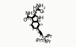 CC(C)[Si](C#Cc1ccc2c(C(N)=O)c(NC(N)=O)[nH]c2c1)(C(C)C)C(C)C